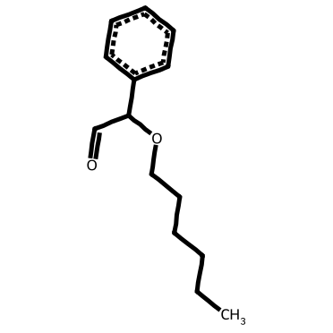 CCCCCCOC(C=O)c1ccccc1